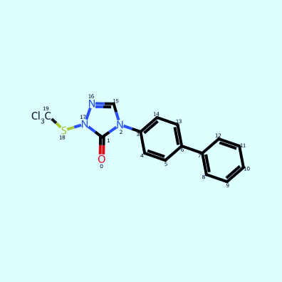 O=c1n(-c2ccc(-c3ccccc3)cc2)cnn1SC(Cl)(Cl)Cl